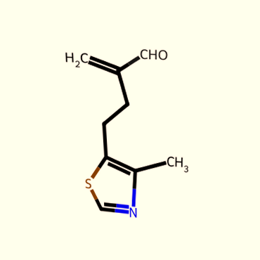 C=C(C=O)CCc1scnc1C